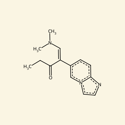 CCC(=O)C(=CN(C)C)c1ccc2nccn2c1